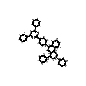 c1ccc(-c2cc(-c3ccccc3)nc(-c3ccc(-c4cc5c(-c6ccccc6)cc(-c6ccccc6)nc5c5ccccc45)cc3)n2)cc1